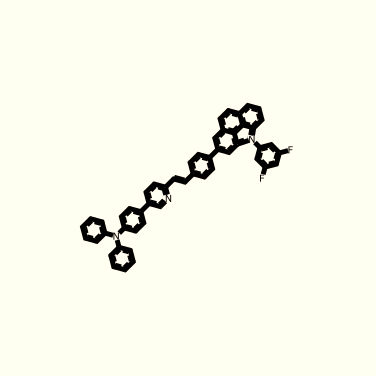 Fc1cc(F)cc(-n2c3cccc4ccc5cc(-c6ccc(/C=C/c7ccc(-c8ccc(N(c9ccccc9)c9ccccc9)cc8)cn7)cc6)cc2c5c43)c1